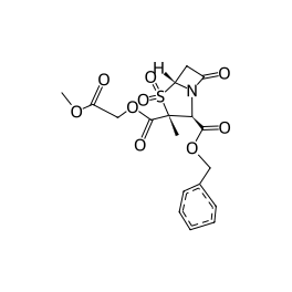 COC(=O)COC(=O)[C@@]1(C)[C@H](C(=O)OCc2ccccc2)N2C(=O)C[C@H]2S1(=O)=O